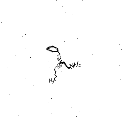 CCCCC[C@@H](CCN)OCc1ccccc1